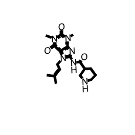 CC(C)=CCn1c(NC(=O)C2CCCNC2)nc2c1c(=O)n(C)c(=O)n2C